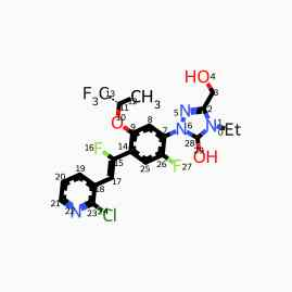 CCN1C(CO)=NN(c2cc(O[C@@H](C)C(F)(F)F)c(/C(F)=C/c3cccnc3Cl)cc2F)C1O